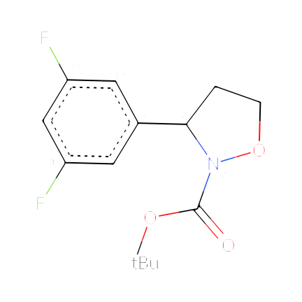 CC(C)(C)OC(=O)N1OCCC1c1cc(F)cc(F)c1